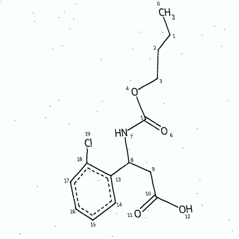 CCCCOC(=O)NC(CC(=O)O)c1ccccc1Cl